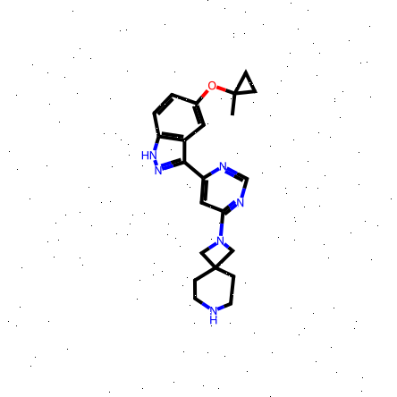 CC1(Oc2ccc3[nH]nc(-c4cc(N5CC6(CCNCC6)C5)ncn4)c3c2)CC1